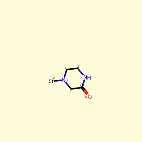 C[CH]N1CCNC(=O)C1